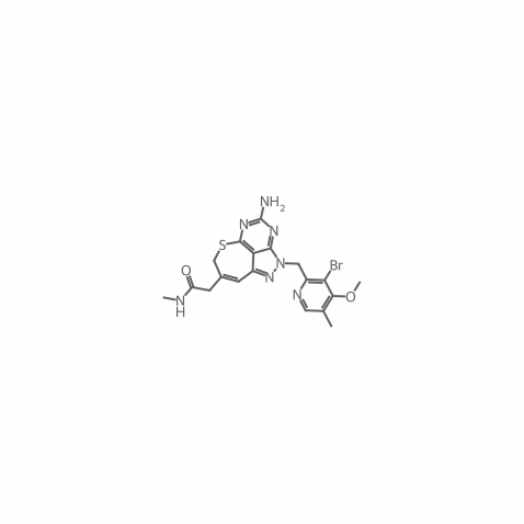 CNC(=O)CC1=Cc2nn(Cc3ncc(C)c(OC)c3Br)c3nc(N)nc(c23)SC1